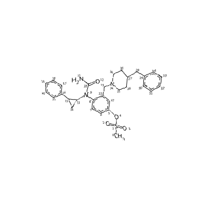 CS(=O)(=O)Oc1ccc(N(C(N)=O)C2CC2c2ccccc2)c(CN2CCC(Cc3ccccc3)CC2)c1